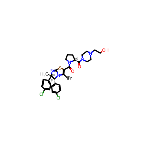 CC(C)C1=C(C(=O)N2CCC[C@H]2C(=O)N2CCN(CCO)CC2)SC2=N[C@@](C)(c3ccc(Cl)cc3)[C@@H](c3ccc(Cl)cc3)N21